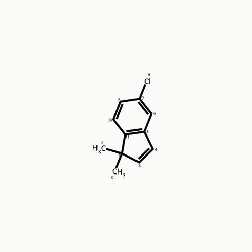 CC1(C)C=Cc2cc(Cl)ccc21